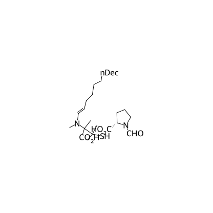 CCCCCCCCCCCCCCC=CN(C)C(C)(C(=O)O)C(C)(C)S.O=CN1CCC[C@H]1C(=O)O